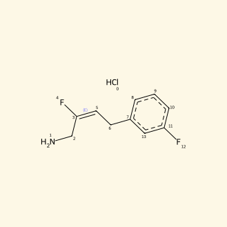 Cl.NC/C(F)=C\Cc1cccc(F)c1